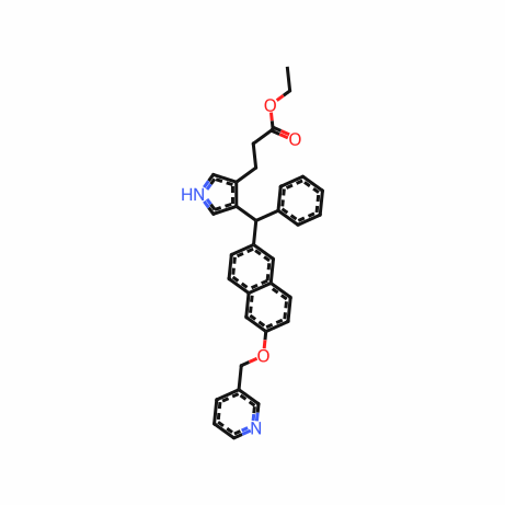 CCOC(=O)CCc1c[nH]cc1C(c1ccccc1)c1ccc2cc(OCc3cccnc3)ccc2c1